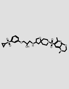 Cc1nc2c(cc1S(=O)(=O)N1CCC3(CC1)CC(NCC(O)COc1cccc(S(=O)(=O)C4CC4)c1)CO3)N(C)CCO2